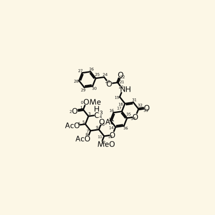 COC(=O)C(C)C(OC(C)=O)C(OC(C)=O)C(OC(C)=O)C(OC)Oc1ccc2c(CNC(=O)OCc3ccccc3)cc(=O)oc2c1